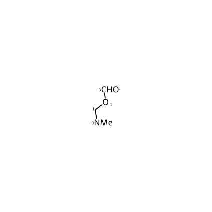 CNCO[C]=O